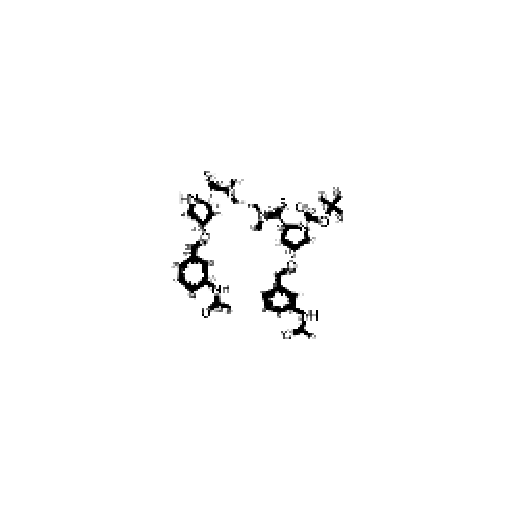 CC(=O)Nc1cccc(CO[C@@H]2C[C@@H](C(=S)N(C)C)N(C(=O)OC(C)(C)C)C2)c1.CC(=O)Nc1cccc(CO[C@H]2CN[C@H](C(=S)N(C)C)C2)c1